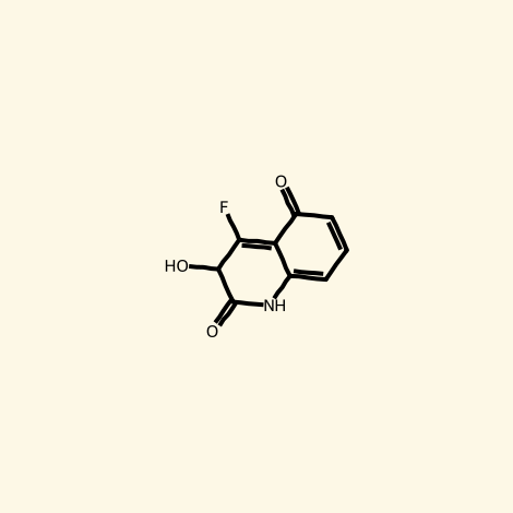 O=C1C=CC=C2NC(=O)C(O)C(F)=C12